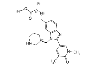 Cc1cc(-c2nc3ccc(CN[C@H](C(=O)OC(C)C)C(C)C)cc3n2C[C@@H]2CCCNC2)cn(C)c1=O